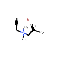 C#CC[N+](C)(C)CC(=C)C(=O)O.[Br-]